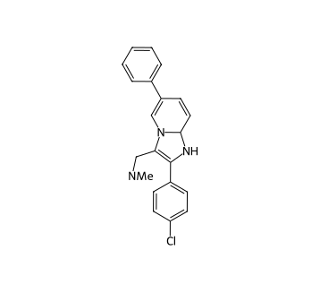 CNCC1=C(c2ccc(Cl)cc2)NC2C=CC(c3ccccc3)=CN12